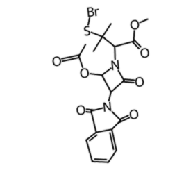 COC(=O)C(N1C(=O)C(N2C(=O)c3ccccc3C2=O)C1OC(C)=O)C(C)(C)SBr